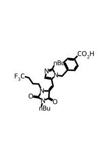 CCCCc1ncc(C=C2C(=O)N(CCCC)C(=O)N2CCCC(F)(F)F)n1Cc1ccc(C(=O)O)cc1